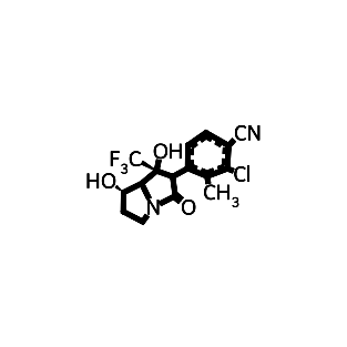 Cc1c(C2C(=O)N3CC[C@H](O)C3[C@@]2(O)C(F)(F)F)ccc(C#N)c1Cl